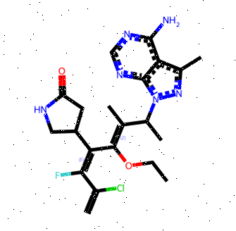 C=C(Cl)/C(F)=C(\C(OCC)=C(/C)C(C)n1nc(C)c2c(N)ncnc21)C1CNC(=O)C1